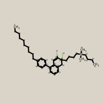 CCCCCCCCCCc1ccc(-c2cccc3c2C=C(F)C(F)(CCCC[Si](C)(C)CCCC)C3)cc1